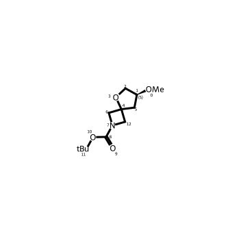 CO[C@@H]1COC2(C1)CN(C(=O)OC(C)(C)C)C2